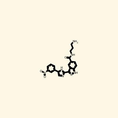 NCCCNC(=O)c1ccc2[nH]nc(-c3ncc(-c4cccc([N+](=O)[O-])c4)[nH]3)c2c1